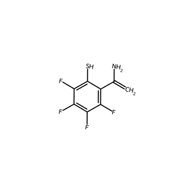 C=C(N)c1c(F)c(F)c(F)c(F)c1S